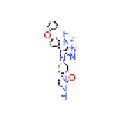 Nc1ncnc2c1c(-c1ccc(Oc3ccccc3)cc1)cn2[C@H]1CC[C@H](N2CCNCC2=O)CC1